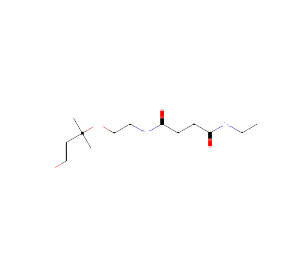 CCNC(=O)CCC(=O)NCCOC(C)(C)CCO